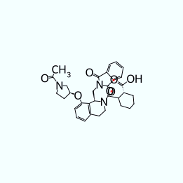 CC(=O)N1CC[C@H](Oc2cccc3c2[C@@H](CN2C(=O)c4ccccc4C2=O)N(C(=O)C2CCCC[C@H]2C(=O)O)CC3)C1